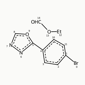 Brc1ccc(-c2nnco2)cc1.CCOC=O